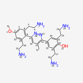 COc1cc(CCN)c(-c2cc(C)c(-c3cc(CCN)c(O)c(CCN)c3)nn2)c(CCN)c1